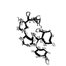 CNC(=O)C1CN(c2ncnc3c2nc(-c2ccccc2Cl)n3-c2ccc(Cl)cc2)CCN1